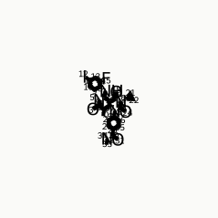 Cc1c(=O)n(C)c(Nc2ccc(I)cc2F)c2c(=O)n(C3CC3)c(=O)n(-c3ccc(C(=O)N(C)C)cc3)c12